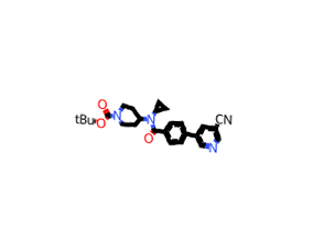 CC(C)(C)OC(=O)N1CCC(N(C(=O)c2ccc(-c3cncc(C#N)c3)cc2)C2CC2)CC1